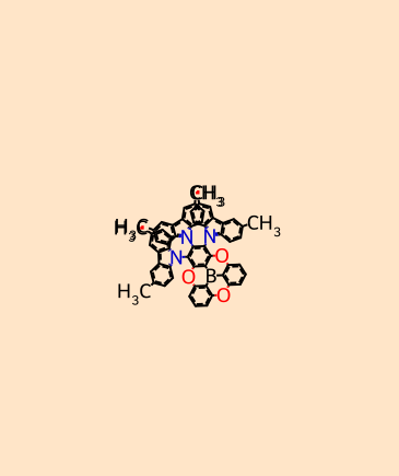 Cc1ccc2c(c1)c1cc(C)ccc1n2-c1c2c3c(c(-n4c5ccc(C)cc5c5cc(C)ccc54)c1-n1c4ccc(C)cc4c4cc(C)ccc41)Oc1cccc4c1B3c1c(cccc1O2)O4